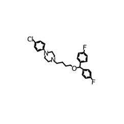 Fc1ccc(C(OCCCCN2CCN(c3ccc(Cl)cc3)CC2)c2ccc(F)cc2)cc1